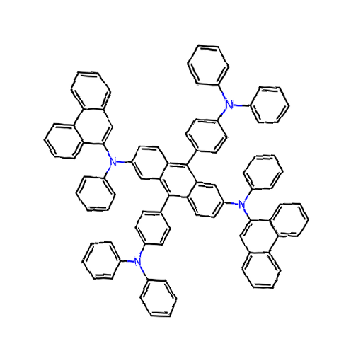 c1ccc(N(c2ccccc2)c2ccc(-c3c4ccc(N(c5ccccc5)c5cc6ccccc6c6ccccc56)cc4c(-c4ccc(N(c5ccccc5)c5ccccc5)cc4)c4ccc(N(c5ccccc5)c5cc6ccccc6c6ccccc56)cc34)cc2)cc1